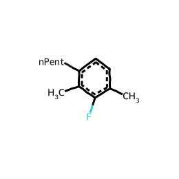 CCCCCc1ccc(C)c(F)c1C